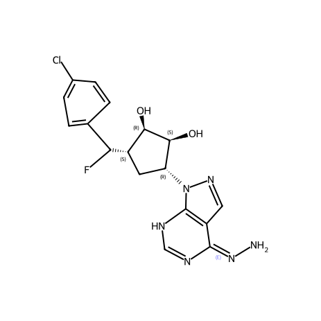 N/N=c1/nc[nH]c2c1cnn2[C@@H]1C[C@H](C(F)c2ccc(Cl)cc2)[C@@H](O)[C@H]1O